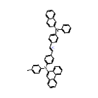 Cc1ccc(N(c2ccc(/C=C/c3ccc(N(c4ccccc4)c4ccc5ccccc5c4)cc3)cc2)c2cc3ccccc3c3ccccc23)cc1